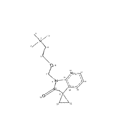 C[Si](C)(C)CCOCN1C(=O)C2(CC2)c2cccnc21